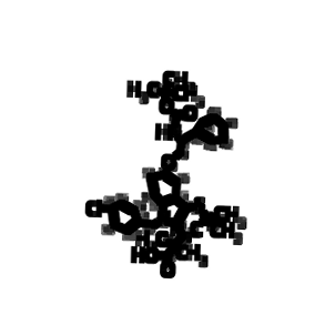 CC(C)(C)OC(=O)NC(COc1ccc2c(c1)c(SC(C)(C)C)c(CC(C)(C)C(=O)O)n2Cc1ccc(Cl)cc1)c1ccccc1